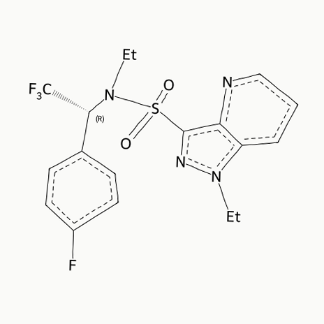 CCN([C@H](c1ccc(F)cc1)C(F)(F)F)S(=O)(=O)c1nn(CC)c2cccnc12